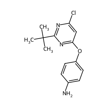 CC(C)(C)c1nc(Cl)cc(Oc2ccc(N)cc2)n1